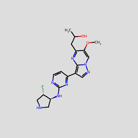 COc1cn2ncc(-c3ccnc(N[C@H]4CNC[C@@H]4F)n3)c2nc1CC(C)O